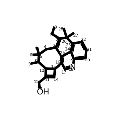 CCC1=C2CC(C)(C)C(C)C3C(CO)=CC3c3cnc4cccc(c4c32)C1(C)C